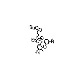 CCOP(=O)(C1C2=CC=C(N(C)C)C(C)C2Oc2cc(N(C)C)ccc21)N(C)CCC(=O)OCC(C)C